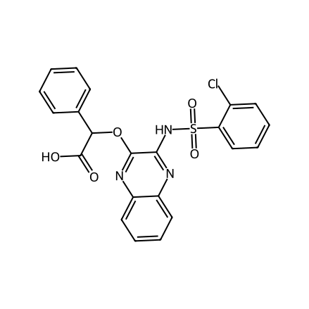 O=C(O)C(Oc1nc2ccccc2nc1NS(=O)(=O)c1ccccc1Cl)c1ccccc1